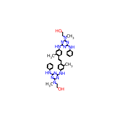 Cc1cc(Nc2nc(Nc3ccccc3)nc(N(C)CCO)n2)ccc1C=Cc1ccc(Nc2nc(Nc3ccccc3)nc(N(C)CCO)n2)cc1C